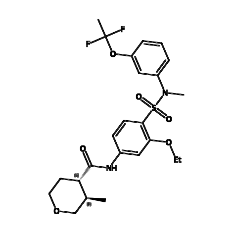 CCOc1cc(NC(=O)[C@H]2CCOC[C@@H]2C)ccc1S(=O)(=O)N(C)c1cccc(OC(C)(F)F)c1